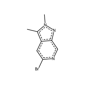 Cc1c2cc(Br)ncc2nn1C